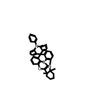 CC12CCCCC1(C)N1C3=C2Oc2cccc4c2B3c2c1cccc2C41c2ccccc2N(c2ccccc2)c2ccccc21